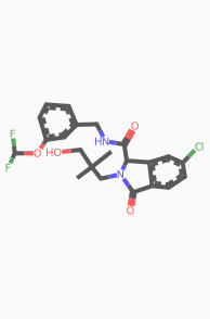 CC(C)(CO)CN1C(=O)c2ccc(Cl)cc2C1C(=O)NCc1cccc(OC(F)F)c1